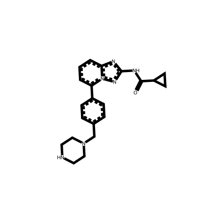 O=C(Nc1nc2cccc(-c3ccc(CN4CCNCC4)cc3)n2n1)C1CC1